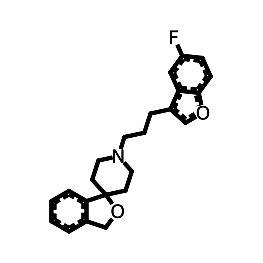 Fc1ccc2occ(CCCN3CCC4(CC3)OCc3ccccc34)c2c1